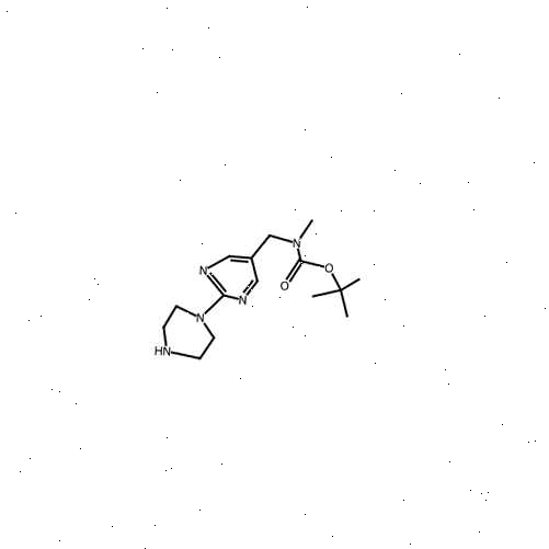 CN(Cc1cnc(N2CCNCC2)nc1)C(=O)OC(C)(C)C